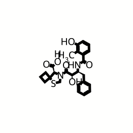 Cc1c(O)cccc1C(=O)N[C@@H](Cc1ccccc1)[C@H](O)C(=O)N1CSC2(CCC2)[C@H]1C(=O)O